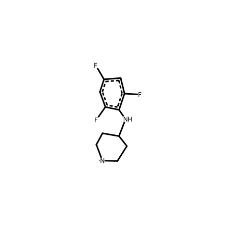 Fc1cc(F)c(NC2CC[N]CC2)c(F)c1